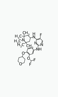 CN1C(C)(C)CC(Nc2nc(Nc3ccc(OC4CCOCC4)c(OC(F)F)c3)ncc2F)CC1(C)C